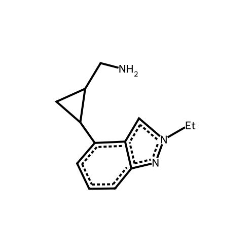 CCn1cc2c(C3CC3CN)cccc2n1